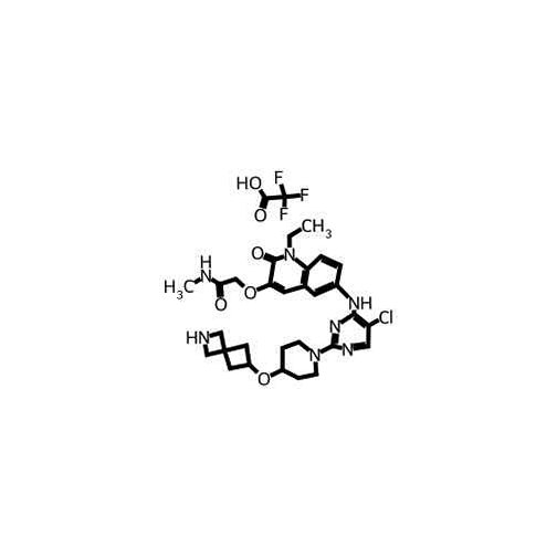 CCn1c(=O)c(OCC(=O)NC)cc2cc(Nc3nc(N4CCC(OC5CC6(CNC6)C5)CC4)ncc3Cl)ccc21.O=C(O)C(F)(F)F